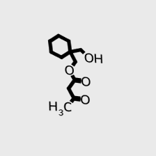 CC(=O)CC(=O)OCC1(CO)CCCCC1